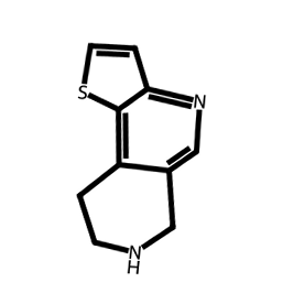 c1cc2ncc3c(c2s1)CCNC3